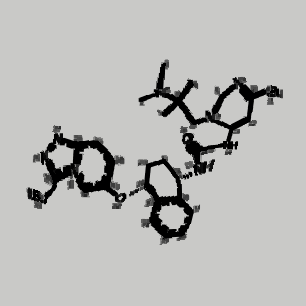 CN(C)C(C)(C)CN1CN=C(C(C)(C)C)C=C1NC(=O)N[C@H]1CC[C@@H](Oc2ccc3nnc(C(C)(C)C)n3c2)c2ccccc21